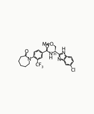 COC[C@H](NC(=O)c1ccc(N2CCCCCC2=O)c(C(F)(F)F)c1)c1nc2cc(Cl)ccc2[nH]1